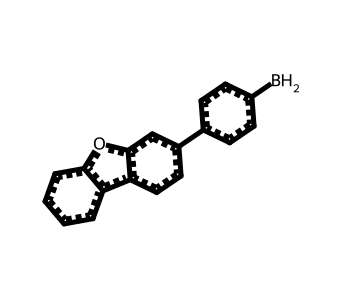 Bc1ccc(-c2ccc3c(c2)oc2ccccc23)cc1